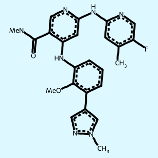 CNC(=O)c1cnc(Nc2cc(C)c(F)cn2)cc1Nc1cccc(-c2cnn(C)c2)c1OC